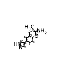 CC(Cc1cccc(-c2cn[nH]c2)c1)C(N)=O